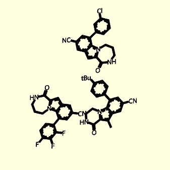 Cc1c2n(c3c(-c4ccc(C(C)(C)C)cc4)cc(C#N)cc13)CCNC2=O.N#Cc1cc(-c2ccc(F)c(F)c2F)c2c(c1)cc1n2CCCNC1=O.N#Cc1cc(-c2cccc(Cl)c2)c2c(c1)cc1n2CCCNC1=O